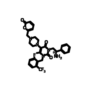 Cc1c(N2CCN(Cc3cccc(=O)o3)CC2)c(=O)n(C[C@H](N)c2ccccc2)c(=O)n1Cc1c(F)cccc1C(F)(F)F